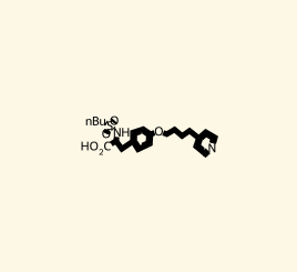 CCCCS(=O)(=O)NC(Cc1ccc(OCCCCc2ccncc2)cc1)C(=O)O